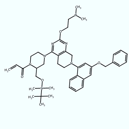 C=CC(=O)N1CCN(c2nc(OCCN(C)C)nc3c2CCN(c2cc(OCc4ccccc4)cc4ccccc24)C3)CC1CO[Si](C)(C)C(C)(C)C